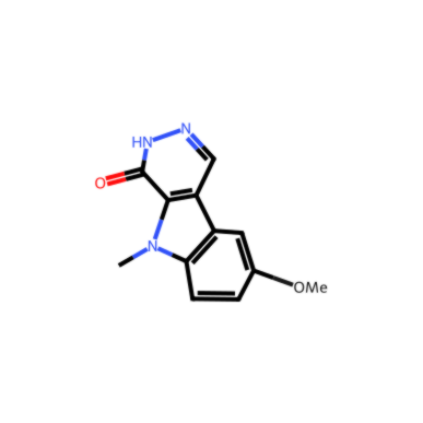 COc1ccc2c(c1)c1cn[nH]c(=O)c1n2C